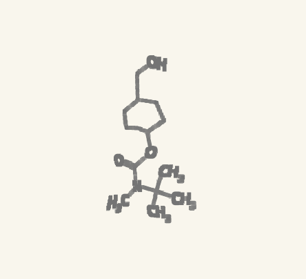 CN(C(=O)OC1CCC(CO)CC1)C(C)(C)C